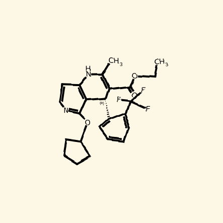 CCOC(=O)C1=C(C)Nc2ccnc(OC3CCCC3)c2[C@H]1c1ccccc1C(F)(F)F